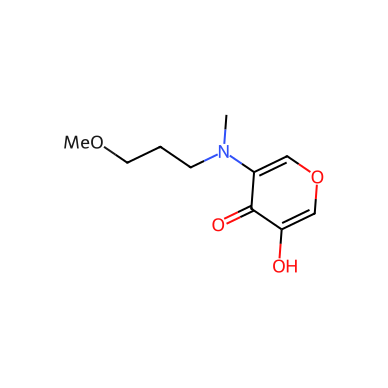 COCCCN(C)c1cocc(O)c1=O